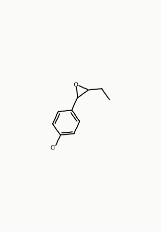 CCC1OC1c1ccc(Cl)cc1